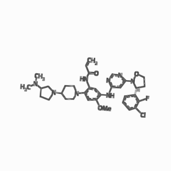 C=CC(=O)Nc1cc(Nc2cc(N3OCC[C@@H]3c3cccc(Cl)c3F)ncn2)c(OC)cc1N1CCC(N2CCC(N(C)C)C2)CC1